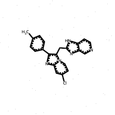 Cc1ccc(-c2nc3cc(Cl)ccn3c2Cc2nc3cnccc3[nH]2)cc1